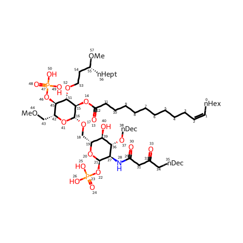 CCCCCC/C=C\CCCCCCCCCC(=O)O[C@H]1[C@H](OC[C@H]2O[C@H](OP(=O)(O)O)[C@H](NC(=O)CC(=O)CCCCCCCCCCC)[C@@H](OCCCCCCCCCC)[C@@H]2O)O[C@H](COC)[C@@H](OP(=O)(O)O)[C@@H]1OCC[C@@H](CCCCCCC)OC